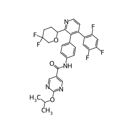 CC(C)Oc1ncc(C(=O)Nc2ccc(-c3c(-c4cc(F)c(F)cc4F)ccnc3C3CCC(F)(F)CO3)cc2)cn1